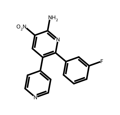 Nc1nc(-c2cccc(F)c2)c(-c2ccncc2)cc1[N+](=O)[O-]